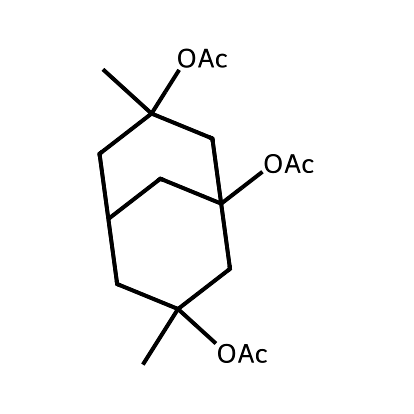 CC(=O)OC1(C)CC2CC(C)(OC(C)=O)CC(OC(C)=O)(C2)C1